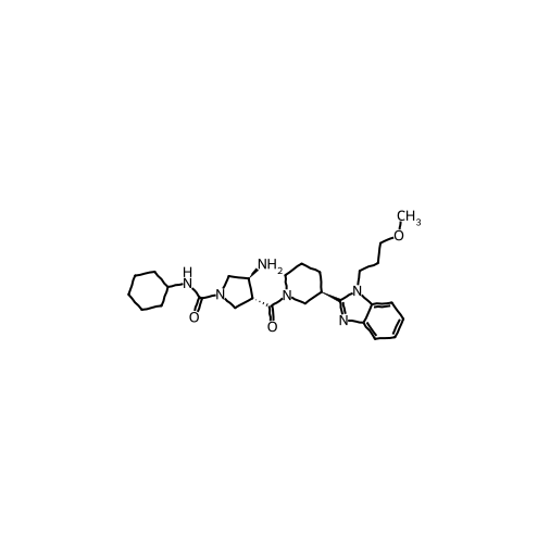 COCCCn1c([C@@H]2CCCN(C(=O)[C@@H]3CN(C(=O)NC4CCCCC4)C[C@H]3N)C2)nc2ccccc21